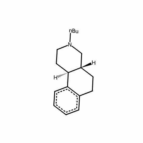 CCCCN1CC[C@@H]2c3ccccc3CC[C@H]2C1